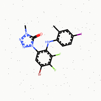 Cc1cc(I)ccc1Nc1c(-n2nnn(C)c2=O)cc(Br)c(F)c1F